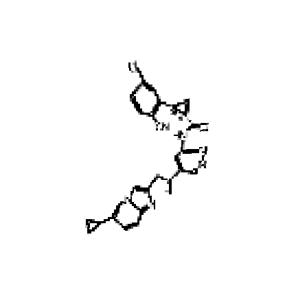 N#Cc1ccc(Cl)cc1[C@H]1C[C@@H]1C(=O)Nc1cc(NCc2cn3cc(C4CC4)ccc3n2)cnn1